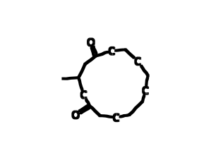 CC1CC(=O)CCCCCCCCCC(=O)C1